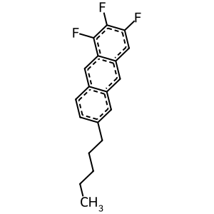 CCCCCc1ccc2cc3c(F)c(F)c(F)cc3cc2c1